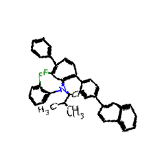 CC(C)C(C)N(c1ccccc1F)c1c(-c2ccc(-c3ccc4ccccc4c3)cc2)ccc(-c2ccccc2)c1F